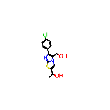 CC(O)c1cn2c(CO)c(-c3ccc(Cl)cc3)nc2s1